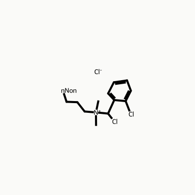 CCCCCCCCCCCC[N+](C)(C)C(Cl)c1ccccc1Cl.[Cl-]